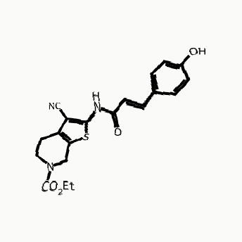 CCOC(=O)N1CCc2c(sc(NC(=O)C=Cc3ccc(O)cc3)c2C#N)C1